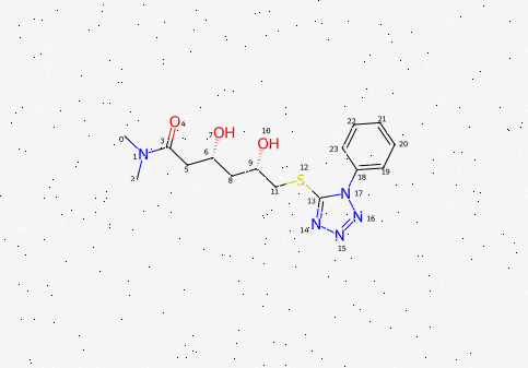 CN(C)C(=O)C[C@H](O)C[C@H](O)CSc1nnnn1-c1ccccc1